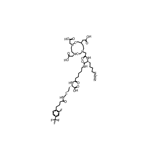 [N-]=[N+]=NCCCC[C@H](NC(=O)CN1CCC(CC(=O)O)CCN(CC(=O)O)CCN(CC(=O)O)CC1)C(=O)NCCCCCC(=O)N[C@@H](CCCCNC(=O)CCCc1ccc(C(F)(F)F)cc1F)C(=O)O